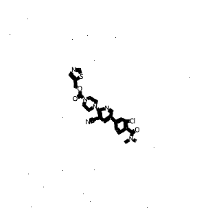 CN(C)C(=O)c1ccc(-c2cnc(N3CCN(C(=O)OCc4cncs4)CC3)c(C#N)c2)cc1Cl